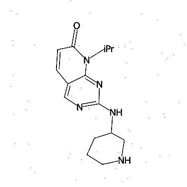 CC(C)n1c(=O)ccc2cnc(NC3CCCNC3)nc21